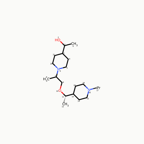 CC(O)C1CCN(C(C)CO[C@@H](C)C2CCN(C(C)C)CC2)CC1